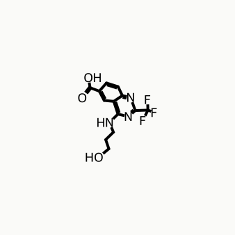 O=C(O)c1ccc2nc(C(F)(F)F)nc(NCCCO)c2c1